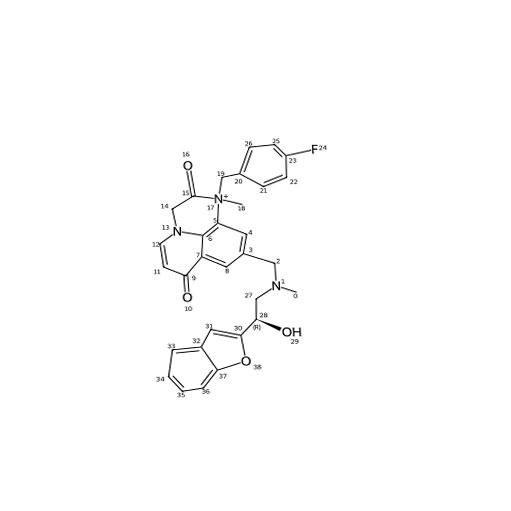 CN(Cc1cc2c3c(c1)c(=O)ccn3CC(=O)[N+]2(C)Cc1ccc(F)cc1)C[C@@H](O)c1cc2ccccc2o1